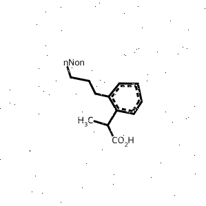 CCCCCCCCCCCCc1ccccc1C(C)C(=O)O